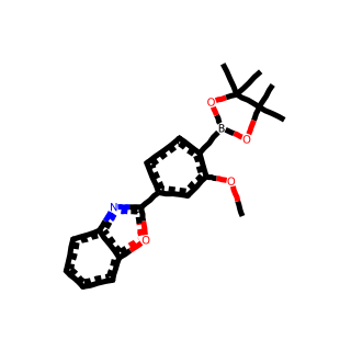 COc1cc(-c2nc3ccccc3o2)ccc1B1OC(C)(C)C(C)(C)O1